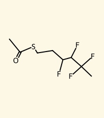 CC(=O)SCCC(F)C(F)C(C)(F)F